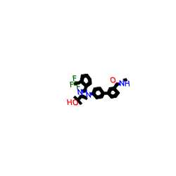 CCNC(=O)c1cccc(-c2ccc(-n3cc(C(C)(C)O)nc3-c3ccccc3C(F)(F)F)cc2)c1